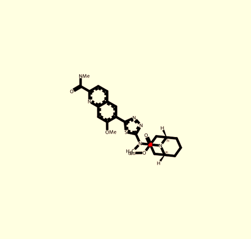 CNC(=O)c1ccc2cc(-c3nnc(N(C)C4C[C@H]5CCC[C@@H](C4)N5C(=O)OC(C)(C)C)s3)c(OC)cc2n1